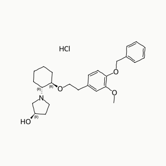 COc1cc(CCO[C@@H]2CCCC[C@H]2N2CC[C@@H](O)C2)ccc1OCc1ccccc1.Cl